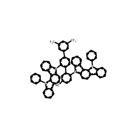 N#Cc1ccc(-n2c3ccccc3c3c2ccc2c4ccccc4n(-c4ccccc4)c23)c(-c2ccc(-c3cc(C(F)(F)F)cc(C(F)(F)F)c3)cc2-n2c3ccccc3c3c2ccc2c4ccccc4n(-c4ccccc4)c23)c1